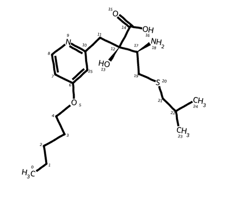 CCCCCOc1ccnc(C[C@](O)(C(=O)O)[C@@H](N)CSCC(C)C)c1